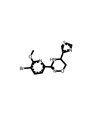 COc1nc(C2=NOCC(c3cscn3)N2)ccc1Br